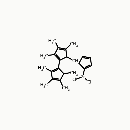 CC1=C(C)C(C)C(C2=C(C)C(C)=C(C)C2C)=C1C.[Cl][Zr]([Cl])[C]1=CC=CC1